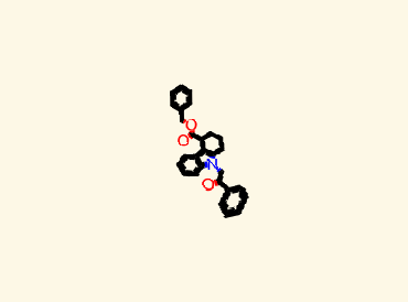 O=C(Cn1c2c(c3ccccc31)C(C(=O)OCc1ccccc1)CCC2)c1ccccc1